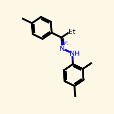 CC/C(=N\Nc1ccc(C)cc1C)c1ccc(C)cc1